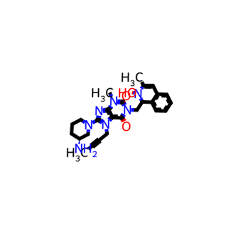 CC#CCn1c(N2CCC[C@@H](N)C2)nc2c1c(=O)n(CC1c3ccccc3C=C(C)N1O)c(=O)n2C